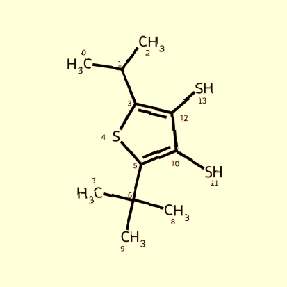 CC(C)c1sc(C(C)(C)C)c(S)c1S